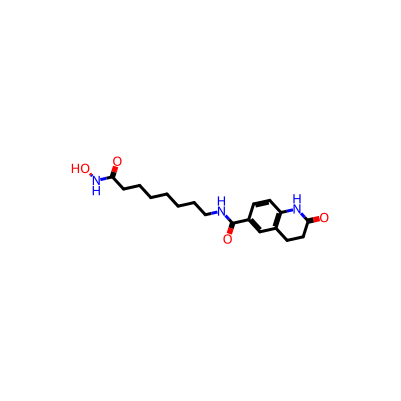 O=C(CCCCCCCNC(=O)c1ccc2c(c1)CCC(=O)N2)NO